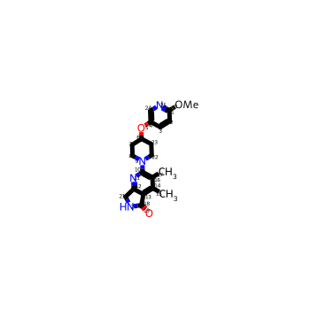 COc1ccc(OC2CCN(c3nc4c(c(C)c3C)C(=O)NC4)CC2)cn1